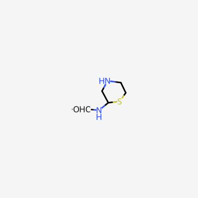 O=[C]NC1CNCCS1